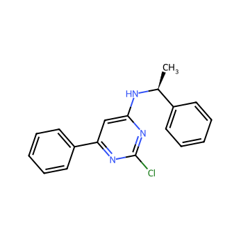 C[C@H](Nc1cc(-c2ccccc2)nc(Cl)n1)c1ccccc1